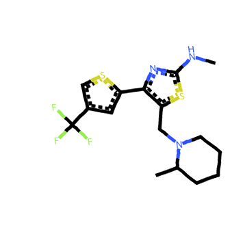 CNc1nc(-c2cc(C(F)(F)F)cs2)c(CN2CCCCC2C)s1